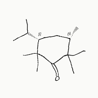 CC(C)[C@@H]1C[C@H](C)C(C)(C)C(=O)C1(C)C